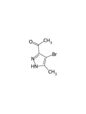 CC(=O)c1n[nH]c(C)c1Br